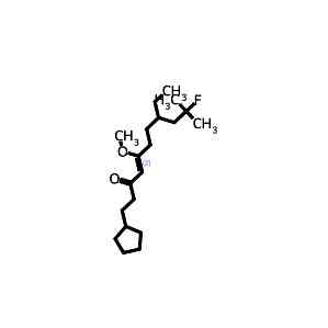 CCC(CC/C(=C/C(=O)CCC1CCCC1)OC)CC(C)(C)F